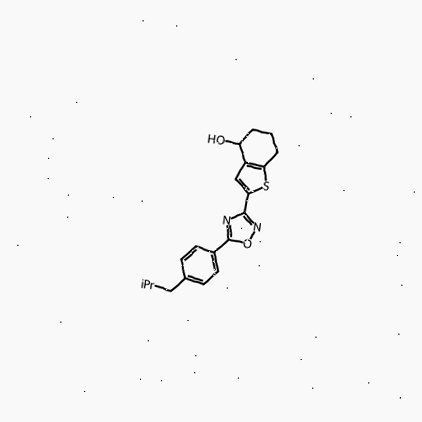 CC(C)Cc1ccc(-c2nc(-c3cc4c(s3)CCCC4O)no2)cc1